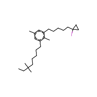 CCC(C)(C)CCCCCc1cc(C)cc(CCCCCC2(I)CC2)c1C